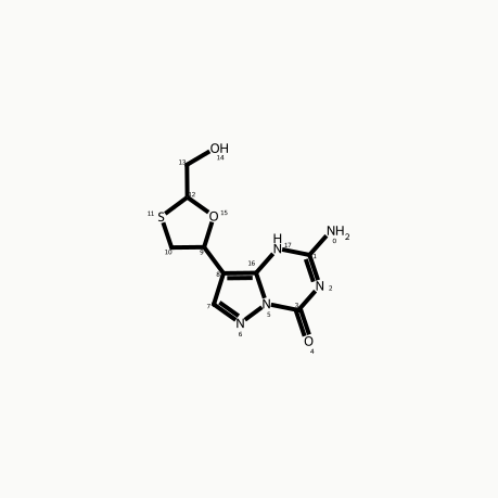 Nc1nc(=O)n2ncc(C3CSC(CO)O3)c2[nH]1